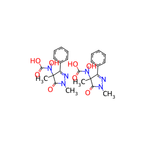 CN1N=C(c2ccccc2)C(C)(N(O)C(=O)O)C1=O.CN1N=C(c2ccccc2)C(C)(N(O)C(=O)O)C1=O